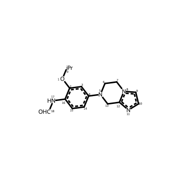 CC(C)Oc1cc(N2CCn3ccnc3C2)ccc1NC=O